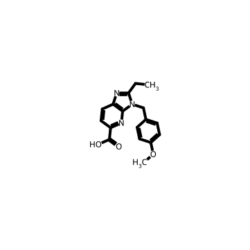 CCc1nc2ccc(C(=O)O)nc2n1Cc1ccc(OC)cc1